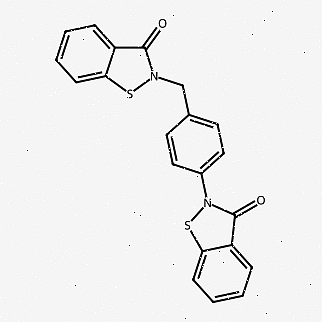 O=c1c2ccccc2sn1Cc1ccc(-n2sc3ccccc3c2=O)cc1